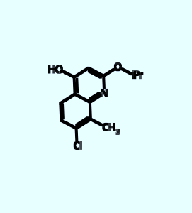 Cc1c(Cl)ccc2c(O)cc(OC(C)C)nc12